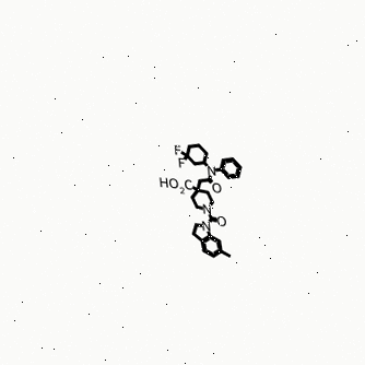 Cc1ccc2c(c1)N(C(=O)N1CCC(CC(=O)N(c3ccccc3)C3CCCC(F)(F)C3)(C(=O)O)CC1)CC2